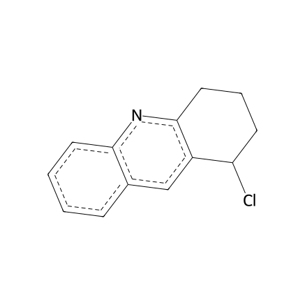 ClC1CCCc2nc3ccccc3cc21